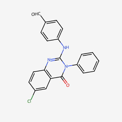 O=Cc1ccc(Nc2nc3ccc(Cl)cc3c(=O)n2-c2ccccc2)cc1